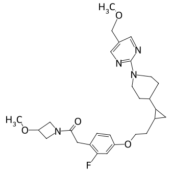 COCc1cnc(N2CCC(C3CC3CCOc3ccc(CC(=O)N4CC(OC)C4)c(F)c3)CC2)nc1